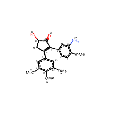 COc1ccc(C2=C(c3cc(OC)c(OC)c(OC)c3)CC(O)C2=O)cc1N